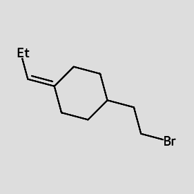 CCC=C1CCC(CCBr)CC1